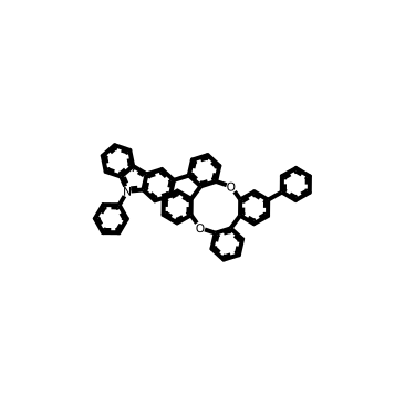 c1ccc(-c2ccc3c(c2)Oc2cccc(-c4ccc5c(c4)c4ccccc4n5-c4ccccc4)c2-c2ccccc2Oc2ccccc2-3)cc1